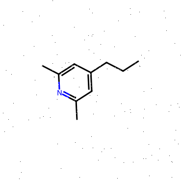 CCCc1cc(C)nc(C)c1